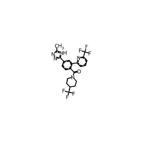 Cc1nnc(-c2ccc(C(=O)N3CCC(C(F)(F)F)CC3)c(-c3cccc(C(F)(F)F)n3)c2)[nH]1